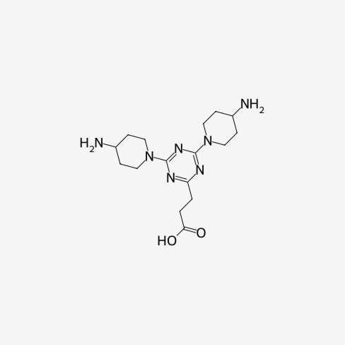 NC1CCN(c2nc(CCC(=O)O)nc(N3CCC(N)CC3)n2)CC1